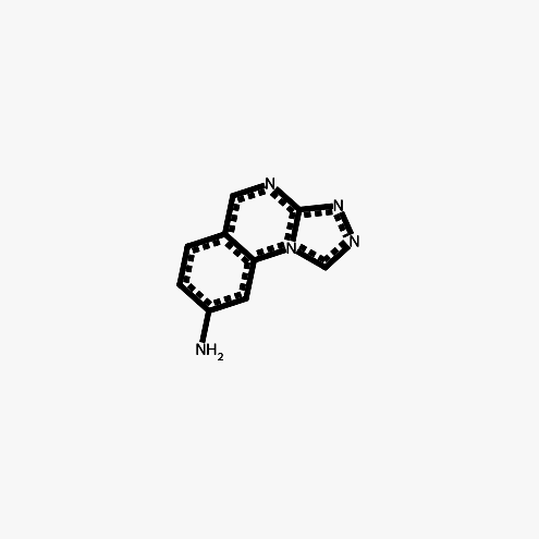 Nc1ccc2cnc3nncn3c2c1